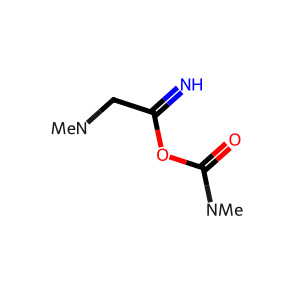 CNCC(=N)OC(=O)NC